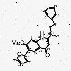 COc1cc2[nH]c(N(C)CCc3ccccc3)cc(=O)c2cc1-c1cnco1